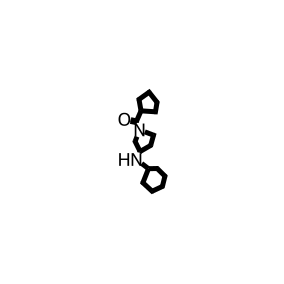 O=C(C1CCCC1)N1CCC(NC2CCCCC2)C1